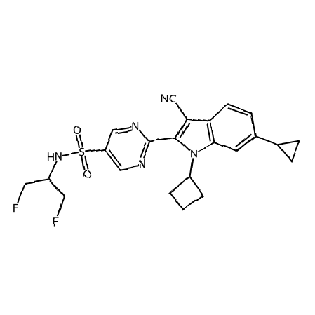 N#Cc1c(-c2ncc(S(=O)(=O)NC(CF)CF)cn2)n(C2CCC2)c2cc(C3CC3)ccc12